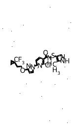 Cc1[nH]ncc1SNC(=O)c1ccc(-n2ccc(OCCC3(C(F)(F)F)CC3)n2)nc1Cl